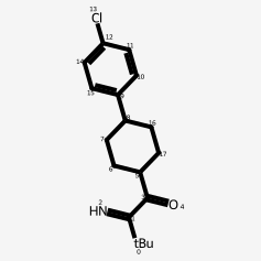 CC(C)(C)C(=N)C(=O)C1CCC(c2ccc(Cl)cc2)CC1